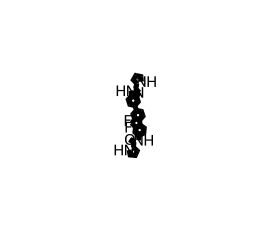 O=C(Nc1ccc2c(c1)C(F)(F)c1cc(-c3ccc4[nH]c(C5CCCN5)nc4c3)ccc1-2)C1CCCN1